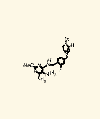 CCN1CC2C[C@H]1CN2Cc1ccc(CNc2nc(OC)nc(C)c2N)c(F)c1